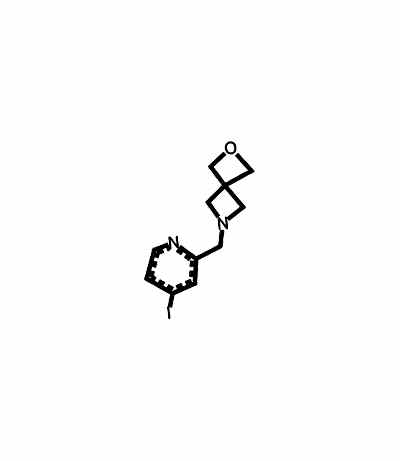 Ic1ccnc(CN2CC3(COC3)C2)c1